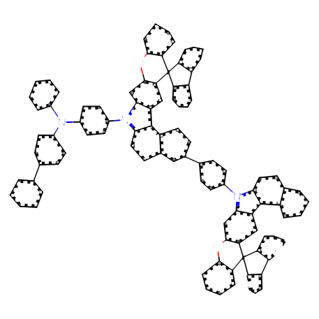 c1ccc(-c2ccc(N(c3ccccc3)c3ccc(-n4c5cc6c(cc5c5c7ccc(-c8ccc(-n9c%10cc%11c(cc%10c%10c%12ccccc%12ccc%109)C9(c%10ccccc%10O%11)c%10ccccc%10-c%10ccccc%109)cc8)cc7ccc54)C4(c5ccccc5O6)c5ccccc5-c5ccccc54)cc3)cc2)cc1